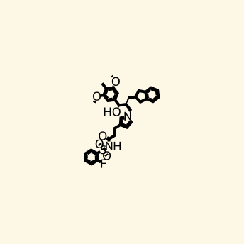 COc1cc([C@@H](O)[C@@H](CC2Cc3ccccc3C2)Cn2ccc(CCC(=O)NS(=O)(=O)c3ccccc3F)c2)cc(OC)c1C